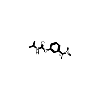 CC(C)NC(=O)Oc1cccc([C@H](C)N(C)C)c1